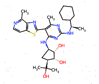 Cc1nc(N[C@H](C)C2CCCCC2)nc(N[C@@H]2C[C@H](C(C)(C)O)[C@@H](O)[C@H]2O)c1-c1nc2c(C)nccc2s1